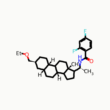 CCOC[C@H]1CC[C@@H]2C3CC[C@@]4(C)C(CCC4[C@@H](C)NC(=O)c4ccc(F)cc4F)[C@@H]3CC[C@@H]2C1